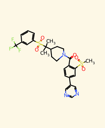 CC(C)(C1CCN(C(=O)c2ccc(-c3cncnc3)cc2S(C)(=O)=O)CC1)S(=O)(=O)c1cccc(C(F)(F)F)c1